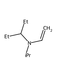 C=CN(C(C)C)C(CC)CC